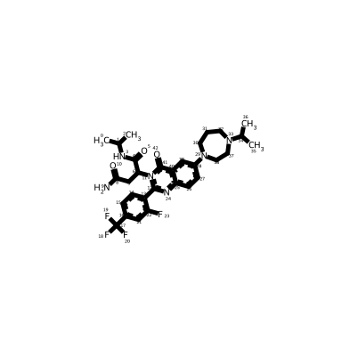 CC(C)NC(=O)C(CC(N)=O)n1c(-c2ccc(C(F)(F)F)cc2F)nc2ccc(N3CCCN(C(C)C)CC3)cc2c1=O